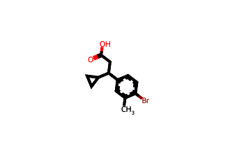 Cc1cc(C(CC(=O)O)C2CC2)ccc1Br